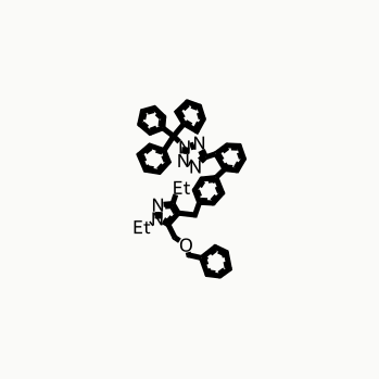 CCc1nn(CC)c(COCc2ccccc2)c1Cc1ccc(-c2ccccc2-c2nnn(C(c3ccccc3)(c3ccccc3)c3ccccc3)n2)cc1